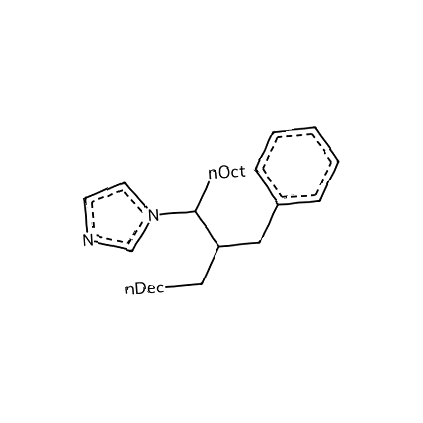 CCCCCCCCCCCC(Cc1ccccc1)C(CCCCCCCC)n1ccnc1